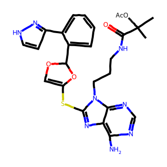 CC(=O)OC(C)(C)C(=O)NCCCn1c(SC2=COC(c3ccccc3-c3cc[nH]n3)O2)nc2c(N)ncnc21